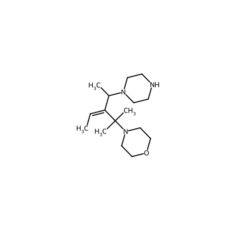 CC=C(C(C)N1CCNCC1)C(C)(C)N1CCOCC1